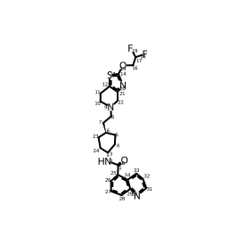 O=C(N[C@H]1CC[C@H](CCN2CCc3sc(OCC(F)F)nc3C2)CC1)c1cccc2ncccc12